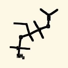 CCC(C)(O[Si](C)(C)N)[Si](C)(C)O[SiH](C)C